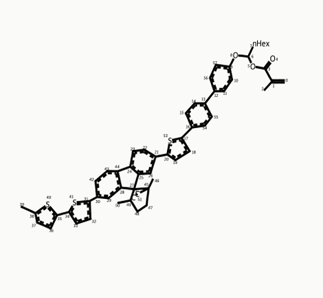 C=C(C)C(=O)OC(CCCCCC)Oc1ccc(-c2ccc(-c3ccc(-c4ccc5c(c4)C4(c6cc(-c7ccc(-c8ccc(C)s8)s7)ccc6-5)C5(C)CCC4(C)CC5)s3)cc2)cc1